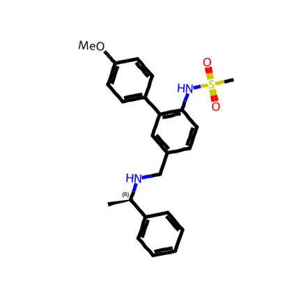 COc1ccc(-c2cc(CN[C@H](C)c3ccccc3)ccc2NS(C)(=O)=O)cc1